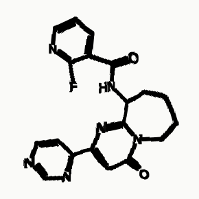 O=C(NC1CCCCn2c1nc(-c1ccncn1)cc2=O)c1cccnc1F